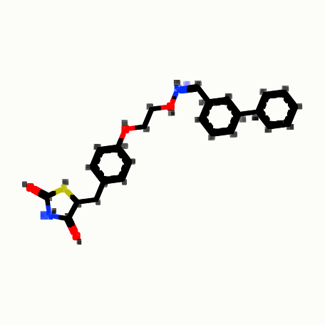 O=C1NC(=O)C(Cc2ccc(OCCO/N=C\c3cccc(-c4ccccc4)c3)cc2)S1